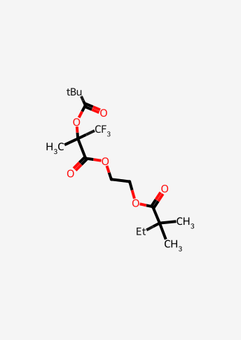 CCC(C)(C)C(=O)OCCOC(=O)C(C)(OC(=O)C(C)(C)C)C(F)(F)F